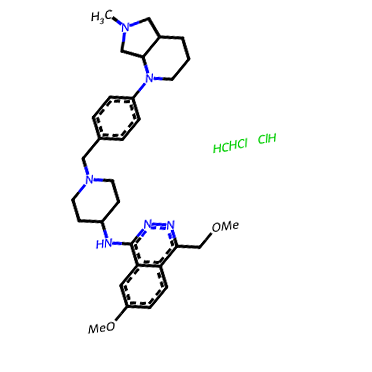 COCc1nnc(NC2CCN(Cc3ccc(N4CCCC5CN(C)CC54)cc3)CC2)c2cc(OC)ccc12.Cl.Cl.Cl